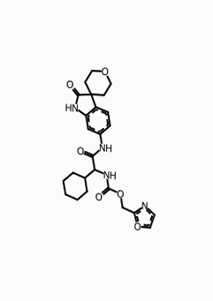 O=C(NC(C(=O)Nc1ccc2c(c1)NC(=O)C21CCOCC1)C1CCCCC1)OCc1ncco1